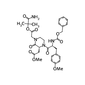 COC(=O)C[C@H]1C(=O)N(CC(=O)OC(C)(C)C(N)=O)CCN1C(=O)[C@H](Cc1ccc(OC)cc1)NC(=O)OCc1ccccc1